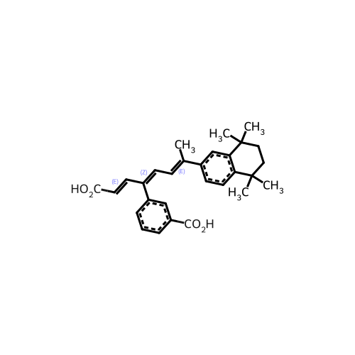 C\C(=C/C=C(/C=C/C(=O)O)c1cccc(C(=O)O)c1)c1ccc2c(c1)C(C)(C)CCC2(C)C